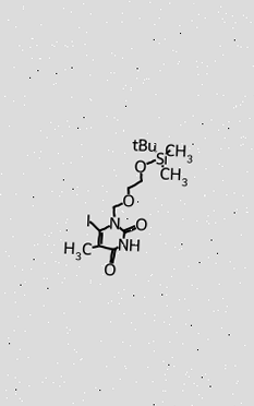 Cc1c(I)n(COCCO[Si](C)(C)C(C)(C)C)c(=O)[nH]c1=O